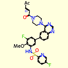 COc1c(F)cc(-c2ccc3ncnc(N4CCN(C(=O)/C=C/C(C)=O)CC4)c3c2)cc1NS(=O)(=O)c1ccc(F)cn1